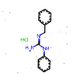 Cl.NC(=NCc1ccccc1)Nc1ccccc1